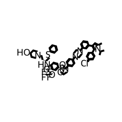 Cc1cc(-c2cccc(N3CCN(c4ccc(N5CCO[P@]5(=O)c5ccc(N[C@H](CCN6CCC(O)CC6)CSc6ccccc6)c(S(=O)(=O)C(F)(F)F)c5)cc4)CC3)c2)c(-c2ccc(Cl)cc2)n1C(C)C